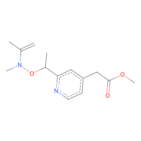 C=C(C)N(C)OC(C)c1cc(CC(=O)OC)ccn1